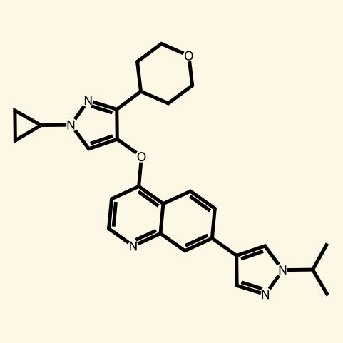 CC(C)n1cc(-c2ccc3c(Oc4cn(C5CC5)nc4C4CCOCC4)ccnc3c2)cn1